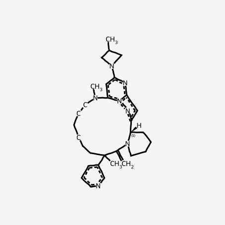 C=C1N2CCCC[C@H]2c2cc3nc(N4CC(C)C4)cc(n3n2)N(C)CCCCCCC1(C)c1cccnc1